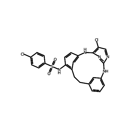 O=S(=O)(Nc1ccc2cc1CCc1cccc(c1)Nc1ncc(Cl)c(n1)N2)c1ccc(Cl)cc1